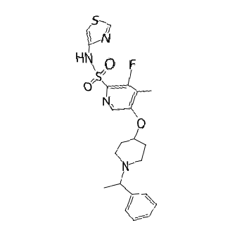 Cc1c(OC2CCN(C(C)c3ccccc3)CC2)cnc(S(=O)(=O)Nc2cscn2)c1F